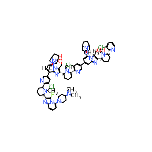 CN1CC2CCC(C1)N2c1ccc(-c2cnc([C@@H]3CCC[C@H](c4nc5cccc(N6CCC(N(C)C)CC6)n5c4F)N3C)c(Cl)c2)c2nc([C@H]3CCC[C@@H](c4ncc(-c5cc(N6CC7CCC(C6)N7C)n6c(CO)c([C@H]7CCC[C@@H](c8ncccc8Cl)N7C)nc6c5)cc4Cl)N3C)c(CO)n12